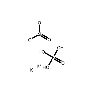 O=P(O)(O)O.O=[Si]([O-])[O-].[K+].[K+]